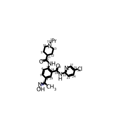 C/C(=N\O)c1ccc(NC(=O)C2CCN(C(C)C)CC2)c(C(=O)Nc2ccc(Cl)cn2)c1